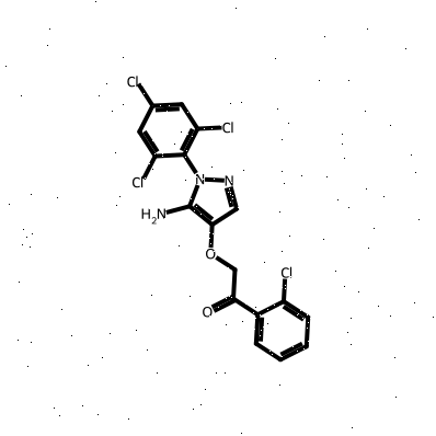 Nc1c(OCC(=O)c2ccccc2Cl)cnn1-c1c(Cl)cc(Cl)cc1Cl